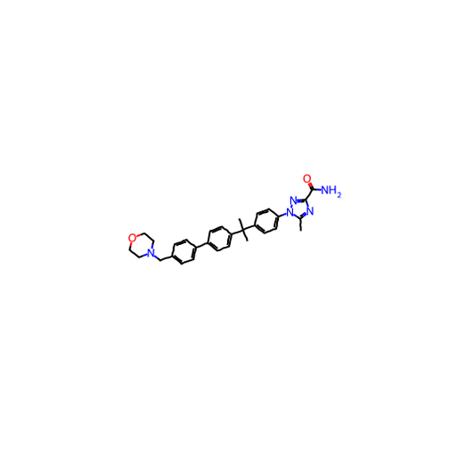 Cc1nc(C(N)=O)nn1-c1ccc(C(C)(C)c2ccc(-c3ccc(CN4CCOCC4)cc3)cc2)cc1